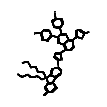 CCCCCC[Si]1(CCCCCC)c2cc(C)ccc2-c2ccc(-c3ccc(-c4ccc(-c5ccc(C)s5)c5nc(-c6ccc(F)cc6)c(-c6ccc(F)cc6)nc45)s3)cc21